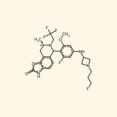 COc1cc(NC2CN(CCCF)C2)cc(F)c1C1c2ccc3[nH]c(=O)oc3c2C[C@@H](C)N1CC(F)(F)F